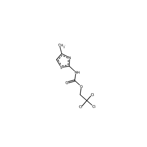 [CH2]c1csc(NC(=O)OCC(Cl)(Cl)Cl)n1